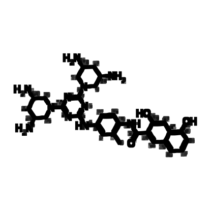 Cc1cc(Nc2nc(N3C[C@H](N)C[C@H](N)C3)nc(N3C[C@H](N)C[C@H](N)C3)n2)ccc1NC(=O)c1cc2cccc(O)c2cc1O